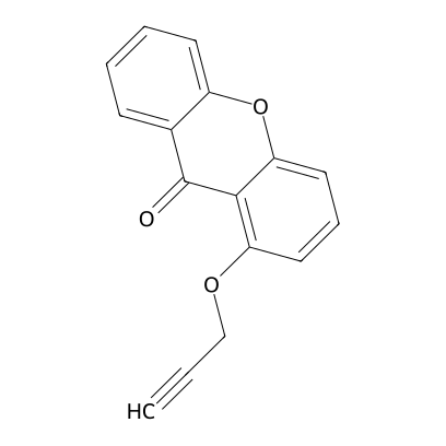 C#CCOc1cccc2oc3ccccc3c(=O)c12